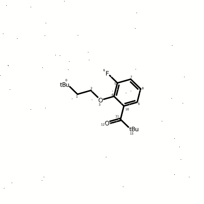 CC(C)(C)CCOc1c(F)cccc1C(=O)C(C)(C)C